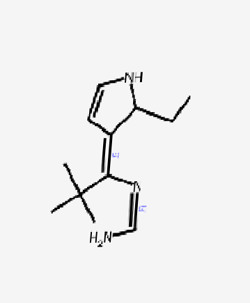 CCC1NC=C/C1=C(/N=C\N)C(C)(C)C